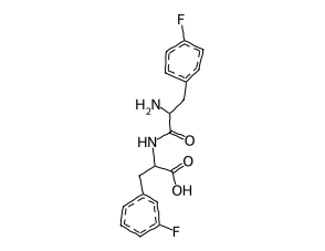 NC(Cc1ccc(F)cc1)C(=O)NC(Cc1cccc(F)c1)C(=O)O